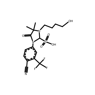 CC1(C)C(=O)N(c2ccc(C#N)c(C(F)(F)F)c2)C(S(=O)(=O)O)N1CCCCO